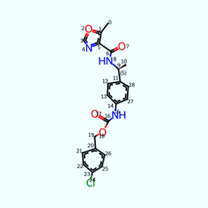 Cc1ocnc1C(=O)N[C@@H](C)c1ccc(NC(=O)OCc2ccc(Cl)cc2)cc1